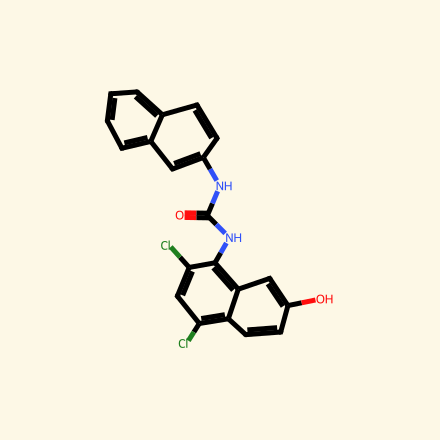 O=C(Nc1ccc2ccccc2c1)Nc1c(Cl)cc(Cl)c2ccc(O)cc12